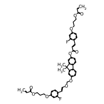 C=CC(=O)OCCCOc1ccc(C=COCOc2ccc3c(c2)C(C)(C)c2cc(OC(=O)C=Cc4ccc(OCCCOC(=O)C=C)cc4F)ccc2-3)c(F)c1